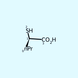 CCC[C@@H](S)C(=O)O